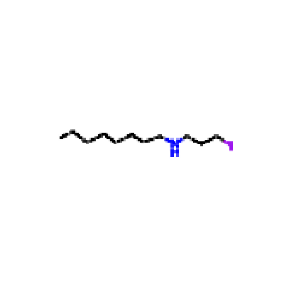 CCCCCCCCNCCCI